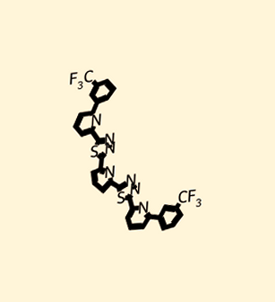 FC(F)(F)c1cccc(-c2cccc(-c3nnc(-c4cccc(-c5nnc(-c6cccc(-c7cccc(C(F)(F)F)c7)n6)s5)n4)s3)n2)c1